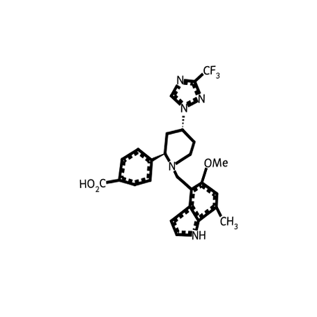 COc1cc(C)c2[nH]ccc2c1CN1CC[C@@H](n2cnc(C(F)(F)F)n2)C[C@@H]1c1ccc(C(=O)O)cc1